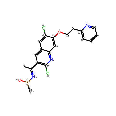 C/C(=N\[S@+]([O-])C(C)(C)C)c1cc2cc(Cl)c(OCCc3ccccn3)cc2nc1Cl